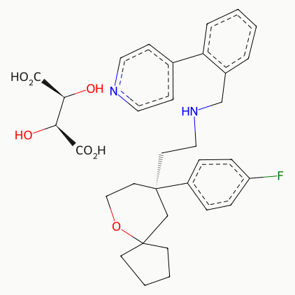 Fc1ccc([C@]2(CCNCc3ccccc3-c3ccncc3)CCOC3(CCCC3)C2)cc1.O=C(O)[C@@H](O)[C@H](O)C(=O)O